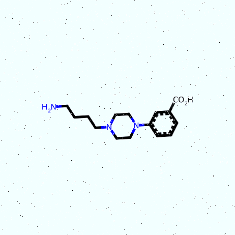 NCCCCN1CCN(c2cccc(C(=O)O)c2)CC1